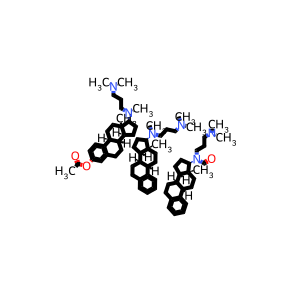 CC(=O)Oc1ccc2c(c1)CC[C@@H]1[C@@H]2CC[C@]2(C)[C@@H](N(C)CCCN(C)C)CC[C@@H]12.CN(C)CCCN(C)[C@H]1CC[C@H]2[C@@H]3CCc4ccccc4[C@H]3CC[C@]12C.CN(C)CCCN(C=O)[C@H]1CC[C@H]2[C@@H]3CCc4ccccc4[C@H]3CC[C@]12C